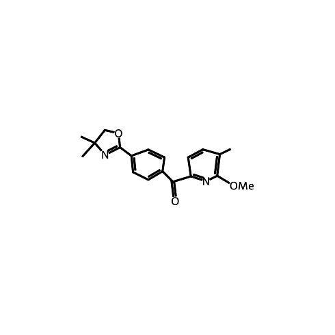 COc1nc(C(=O)c2ccc(C3=NC(C)(C)CO3)cc2)ccc1C